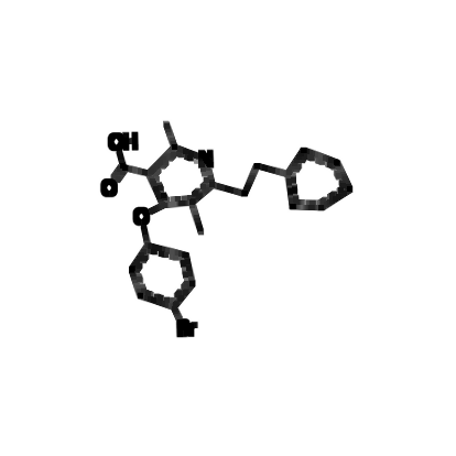 Cc1nc(CCc2ccccc2)c(C)c(Oc2ccc(Br)cc2)c1C(=O)O